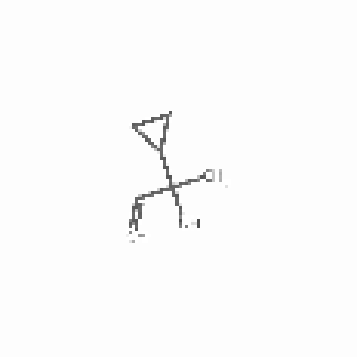 [CH]=CC(C)(O)C1CC1